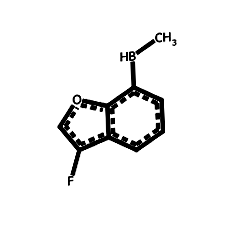 CBc1cccc2c(F)coc12